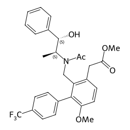 COC(=O)Cc1ccc(OC)c(-c2ccc(C(F)(F)F)cc2)c1CN(C(C)=O)[C@@H](C)[C@@H](O)c1ccccc1